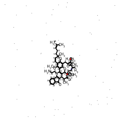 CCC(C)C12Oc3c(CC=C(C)C)c4c(c(OC)c3C3=C1C(C1=C(c5ccccc5C1=O)N3CCN)C(C)C(=O)C2(O)C/C=C(/C)C(=O)OC)C=CC(C)(CCC=C(C)C)O4